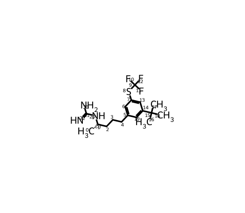 C[C@@H](CCCc1cc(SC(F)(F)F)cc(C(C)(C)C)c1)NC(=N)N